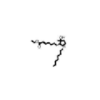 CCCCCCCC[C@H]1CCC(C)(O)[C@@H]1CCCCC=CC(=O)OCC